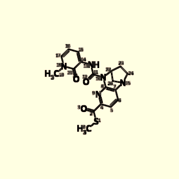 CSC(=O)c1ccc2c(n1)N(C(=O)Nc1cccn(C)c1=O)C1CCN2C1